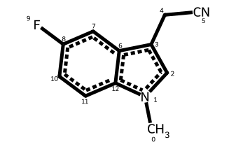 Cn1cc(CC#N)c2cc(F)ccc21